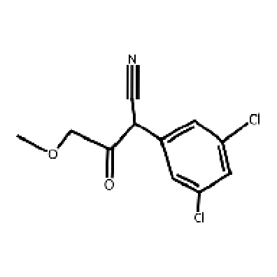 COCC(=O)C(C#N)c1cc(Cl)cc(Cl)c1